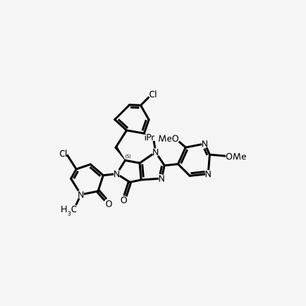 COc1ncc(-c2nc3c(n2C(C)C)[C@H](Cc2ccc(Cl)cc2)N(c2cc(Cl)cn(C)c2=O)C3=O)c(OC)n1